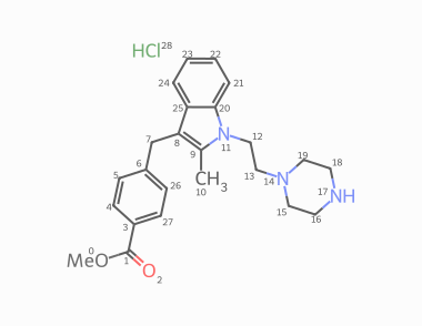 COC(=O)c1ccc(Cc2c(C)n(CCN3CCNCC3)c3ccccc23)cc1.Cl